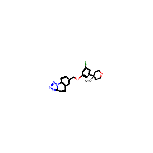 COC1(c2cc(F)cc(OCc3ccc4c(ccc5nnnn54)c3)c2)CCOCC1